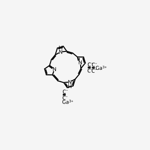 C1=Cc2cc3ccc(cc4nc(cc5ccc(cc1n2)[nH]5)C=C4)[nH]3.[C-]#[C-].[C-]#[C-].[C-]#[C-].[Ga+3].[Ga+3]